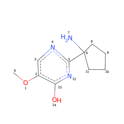 COc1cnc(C2(N)CCCC2)nc1O